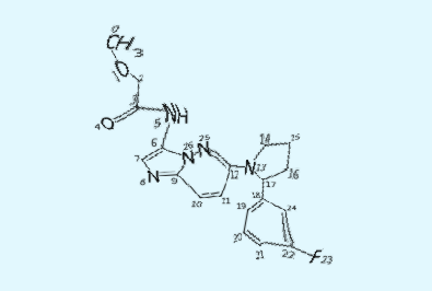 COCC(=O)Nc1cnc2ccc(N3CCCC3c3cccc(F)c3)nn12